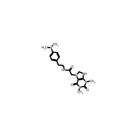 CN(C)c1ccc(CCNC(=O)CN2CNc3c2c(=O)n(C)c(=O)n3C)cc1